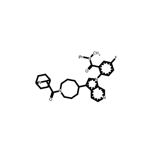 CC(C)N(C)C(=O)c1cc(F)ccc1-n1cc(C2CCCN(C(=O)C3NC4CCC3CC4)CCC2)c2ccncc21